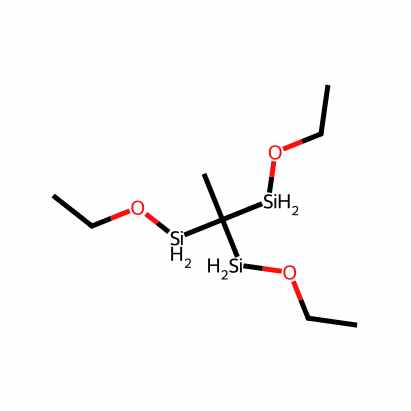 CCO[SiH2]C(C)([SiH2]OCC)[SiH2]OCC